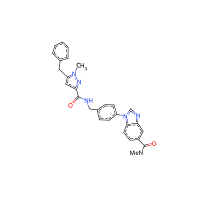 CNC(=O)c1ccc2c(c1)ncn2-c1ccc(CNC(=O)c2cc(Cc3ccccc3)n(C)n2)cc1